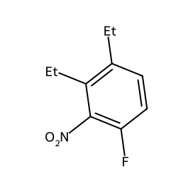 CCc1ccc(F)c([N+](=O)[O-])c1CC